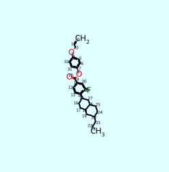 C=CCOc1ccc(OC(=O)c2ccc(C3CCC4CC(CCC)CCC4C3)c(F)c2)cc1